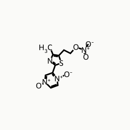 Cc1nc(-c2c[n+]([O-])cc[n+]2[O-])sc1CCO[N+](=O)[O-]